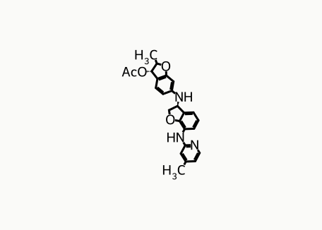 CC(=O)O[C@H]1c2ccc(N[C@@H]3COc4c(Nc5cc(C)ccn5)cccc43)cc2OC1C